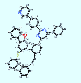 C1=C\c2ccc(-c3cc(-c4ccccc4)nc(-c4ccc(-c5cccnc5)cc4)n3)cc2-c2cc3oc4ccccc4c3cc2Sc2ccccc2-c2ccccc2/1